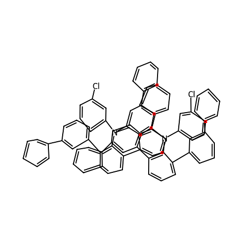 Clc1cccc(N(c2cc(-c3ccccc3)cc(N(c3cccc(Cl)c3)c3c(-c4cccc(-c5ccccc5)c4)cccc3-c3cccc(-c4ccccc4)c3)c2)c2c(-c3cccc(-c4ccccc4)c3)cccc2-c2cccc(-c3ccccc3)c2)c1